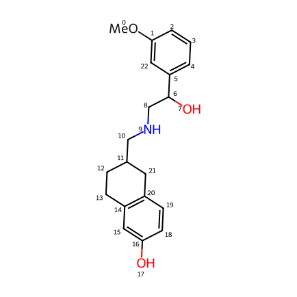 COc1cccc(C(O)CNCC2CCc3cc(O)ccc3C2)c1